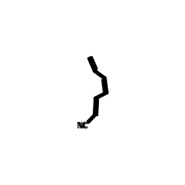 C=C/C=C\C=CC#N